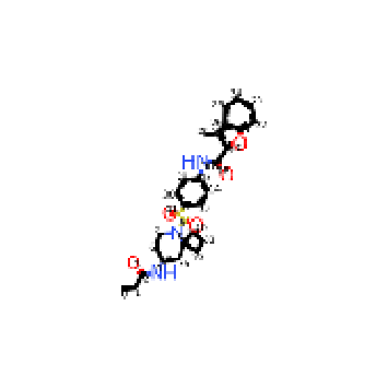 C=CC(=O)NC1CCN(S(=O)(=O)c2ccc(NC(=O)c3oc4ccccc4c3C)cc2)C2(CCC2)C1